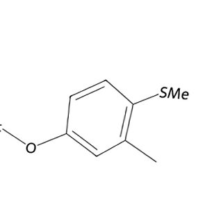 CCOc1ccc(SC)c(C)c1